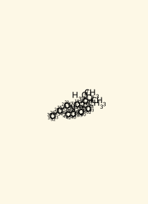 CC1(C)CCC(C)(C)c2cc3c(cc21)-c1ccc(N(c2cccc(-c4ccc(-c5ccccc5)cc4)c2)c2cccc4ccccc24)cc1C3(c1ccccc1)c1ccccc1